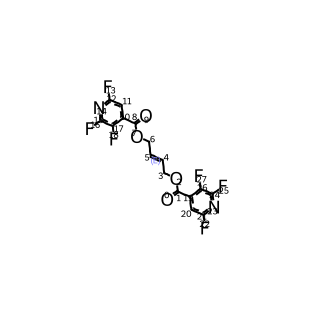 O=C(OC/C=C/COC(=O)c1cc(F)nc(F)c1F)c1cc(F)nc(F)c1F